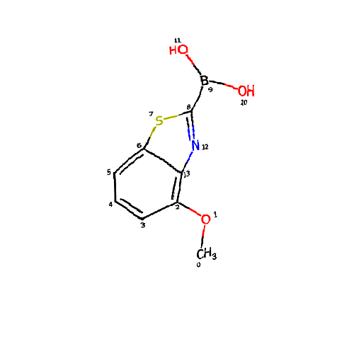 COc1cccc2sc(B(O)O)nc12